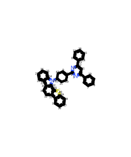 C1=C(c2nc(-c3ccccc3)cc(-c3ccccc3)n2)CCC(n2c3ccccc3c3ccc4c5ccccc5sc4c32)C1